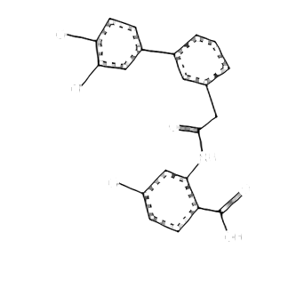 O=C(Cc1cccc(-c2ccc(Cl)c(Cl)c2)c1)Nc1cc(Cl)ccc1C(=O)O